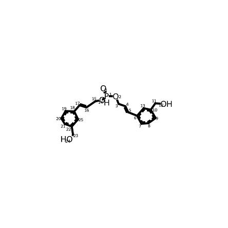 O=[PH](OCC=Cc1cccc(CO)c1)OCC=Cc1cccc(CO)c1